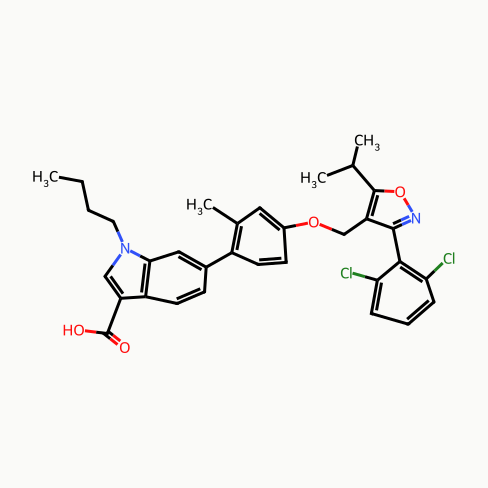 CCCCn1cc(C(=O)O)c2ccc(-c3ccc(OCc4c(-c5c(Cl)cccc5Cl)noc4C(C)C)cc3C)cc21